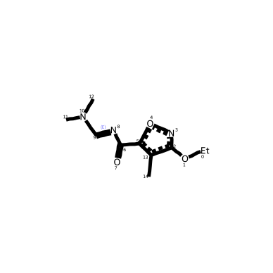 CCOc1noc(C(=O)/N=C/N(C)C)c1C